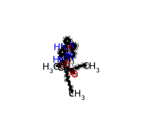 CCCCCCCCCCC[C@@H](C[C@@H]1OC(=O)[C@H]1CCCCCC)OC(=O)[C@H](CC(C)C)NC(=O)N(c1nccc(-c2cccnc2)n1)c1cc(NC(=O)c2ccccc2)ccc1C